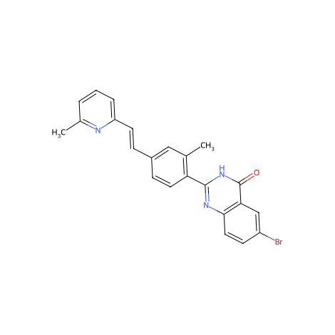 Cc1cccc(C=Cc2ccc(-c3nc4ccc(Br)cc4c(=O)[nH]3)c(C)c2)n1